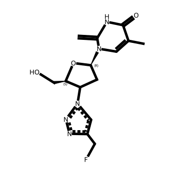 C=C1NC(=O)C(C)=CN1[C@H]1CC(n2cc(CF)nn2)[C@@H](CO)O1